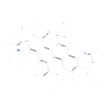 C/C=C1\c2c(C)c3c4c5c(c(C)c6c(c25)[C@@](SC)(C=C2C=6N=C(C)[C@@](C)(SC)[C@H]2SC)[C@@H]1SC)[C@]1(C=C4[C@@H]2SCS[C@@]24C=C(C)C(C)=NC=34)SCS[C@@H]1C